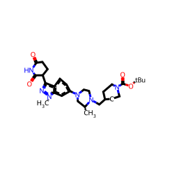 C[C@H]1CN(c2ccc3c(C4CCC(=O)NC4=O)nn(C)c3c2)CCN1CC1CCN(C(=O)OC(C)(C)C)CC1